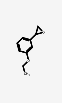 CCOc1cccc(C2CO2)c1